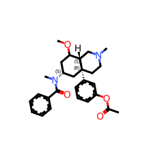 COC1C[C@@H](N(C)C(=O)c2ccccc2)C[C@]2(c3cccc(OC(C)=O)c3)CCN(C)C[C@@H]12